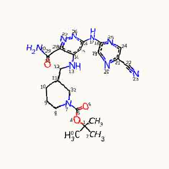 CC(C)(C)OC(=O)N1CCCC(CNc2cc(Nc3cnc(C#N)cn3)nnc2C(N)=O)C1